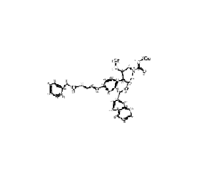 CCOC1CN(C(=O)OC(C)(C)C)CC(OCc2ccc3ccccc3c2)C1c1ccc(OCCCOCc2ccccc2)cc1